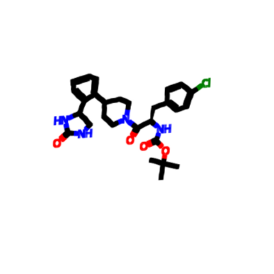 CC(C)(C)OC(=O)N[C@H](Cc1ccc(Cl)cc1)C(=O)N1CCC(c2ccccc2C2CNC(=O)N2)CC1